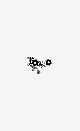 O=S(=O)([O-])c1c(S(=O)(=O)O)cc2[nH]c(S(=O)(=O)Oc3ccccc3)nc2c1S(=O)(=O)[O-].[Na+].[Na+]